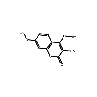 COc1c(OC(C)C)c2ccc(OC(C)(C)C)cc2oc1=O